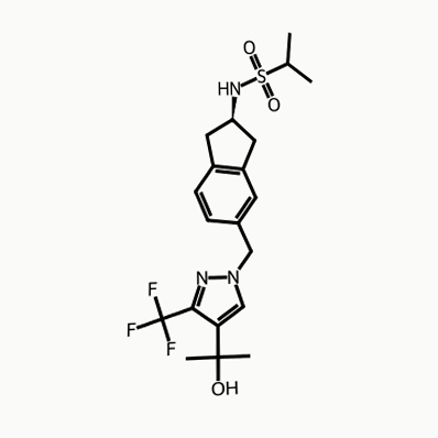 CC(C)S(=O)(=O)N[C@@H]1Cc2ccc(Cn3cc(C(C)(C)O)c(C(F)(F)F)n3)cc2C1